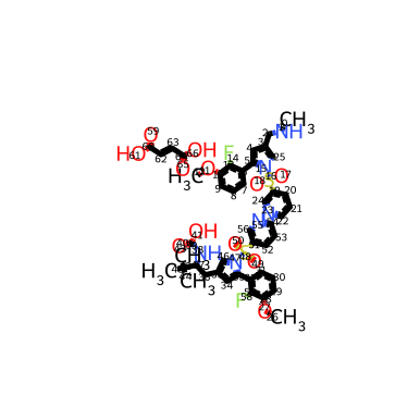 CNCc1cc(-c2cccc(OC)c2F)n(S(=O)(=O)c2cccnc2)c1.COc1cccc(-c2cc(CC(NC(=O)O)C(C)(C)C)cn2S(=O)(=O)c2cccnc2)c1F.O=C(O)C=CC(=O)O